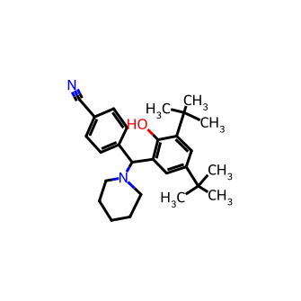 CC(C)(C)c1cc(C(c2ccc(C#N)cc2)N2CCCCC2)c(O)c(C(C)(C)C)c1